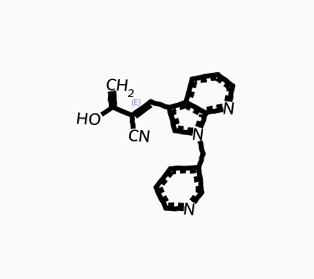 C=C(O)/C(C#N)=C/c1cn(Cc2cccnc2)c2ncccc12